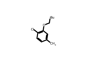 CCC(C)COc1cc(C)ccc1Cl